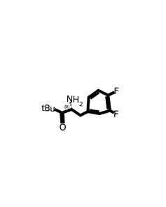 CC(C)(C)C(=O)[C@H](N)Cc1ccc(F)c(F)c1